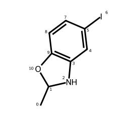 CC1Nc2cc(I)ccc2O1